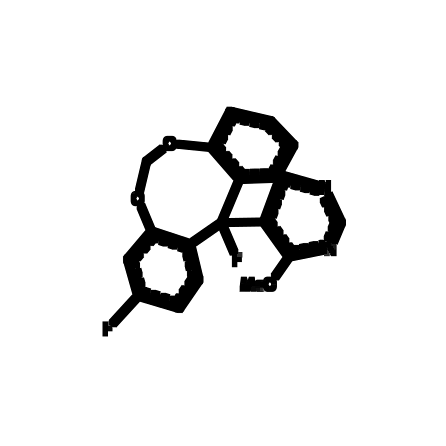 COc1ncncc1C1(F)c2ccccc2OCOc2cc(F)ccc21